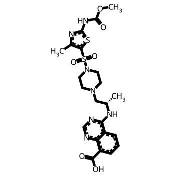 COC(=O)Nc1nc(C)c(S(=O)(=O)N2CCN(C[C@H](C)Nc3ncnc4c(C(=O)O)cccc34)CC2)s1